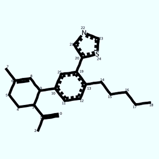 C=C(C)C1CCC(C)=CC1c1ccc(CCCCC)c(-c2cncs2)c1